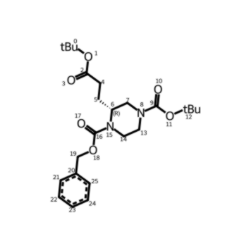 CC(C)(C)OC(=O)CC[C@@H]1CN(C(=O)OC(C)(C)C)CCN1C(=O)OCc1ccccc1